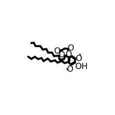 CCCCCCCCCCCCc1c(C2(CCCCCCCCCCCC)OC(=O)CC(=O)O2)cc(OC)c(O)c1OC